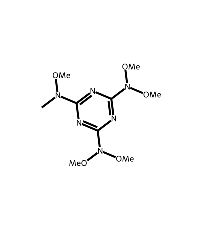 CON(C)c1nc(N(OC)OC)nc(N(OC)OC)n1